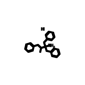 CC(Cc1ccccc1)C(N)(Cc1ccccc1)Cc1ccccc1.I